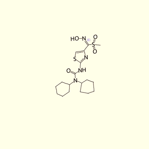 CS(=O)(=O)/C(=N/O)c1csc(NC(=O)N(C2CCCCC2)C2CCCCC2)n1